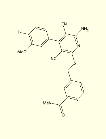 CNC(=O)c1cc(CSc2nc(N)c(C#N)c(-c3ccc(F)c(OC)c3)c2C#N)ccn1